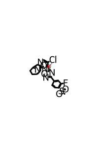 C[C@@H](OC1CC2CCC(C1)N2c1ncc(Cl)cn1)c1nc(-c2ccc(S(C)(=O)=O)c(F)c2)no1